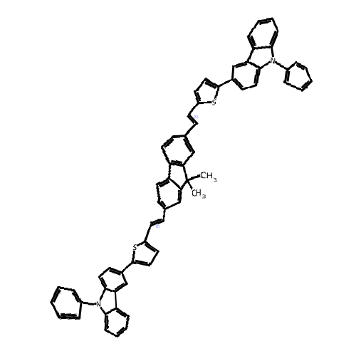 CC1(C)c2cc(/C=C/c3ccc(-c4ccc5c(c4)c4ccccc4n5-c4ccccc4)s3)ccc2-c2ccc(/C=C/c3ccc(-c4ccc5c(c4)c4ccccc4n5-c4ccccc4)s3)cc21